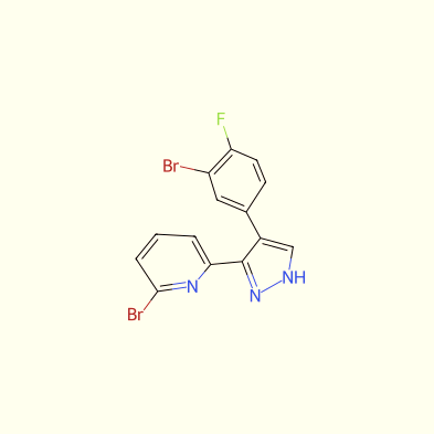 Fc1ccc(-c2c[nH]nc2-c2cccc(Br)n2)cc1Br